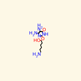 NCCCCCC(O)Oc1nc(N)c(N)c(=O)[nH]1